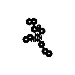 c1ccc2cc(-c3ccc(C4=NC(c5cccc6oc7c(-c8cccc9ccccc89)cccc7c56)=NC(c5ccc6ccccc6c5)N4)cc3)ccc2c1